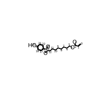 C=CC(=O)OCCCCCCCCS(=O)(=O)c1ccc(O)cc1